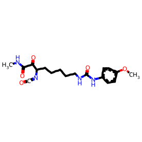 CNC(=O)C(=O)C(CCCCCNC(=O)Nc1ccc(OC)cc1)N=C=O